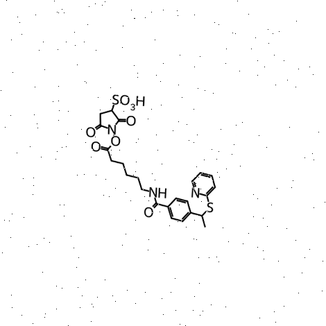 CC(Sc1ccccn1)c1ccc(C(=O)NCCCCCC(=O)ON2C(=O)CC(S(=O)(=O)O)C2=O)cc1